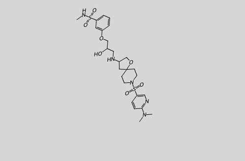 CNS(=O)(=O)c1cccc(OCC(O)CNC2COC3(CCN(S(=O)(=O)c4ccc(N(C)C)nc4)CC3)C2)c1